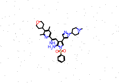 Cc1cc(/C(N)=C/c2c(-c3cnn(C4CCN(C)CC4)c3)cn(S(=O)(=O)c3ccccc3)c2N)nc(C)c1C1CCOCC1